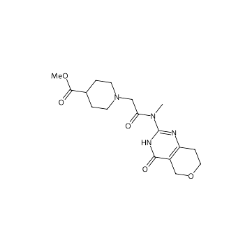 COC(=O)C1CCN(CC(=O)N(C)c2nc3c(c(=O)[nH]2)COCC3)CC1